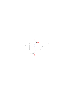 CSCC[C@@H](C(C)=O)N(C(=O)O)C(C)(C)C